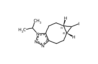 CC(C)n1nnc2c1CC[C@@H]1C(I)[C@@H]1CC2